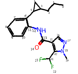 CCCC1CC1c1ccccc1NC(=O)c1cnn(C)c1C(F)F